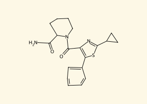 NC(=O)C1CCCCN1C(=O)c1nc(C2CC2)sc1-c1ccccc1